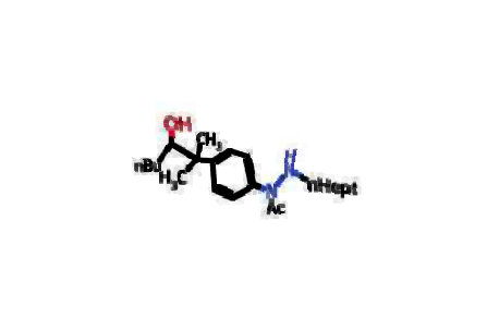 CCCCCCCNN(C(C)=O)c1ccc(C(C)(C)C(O)CCCC)cc1